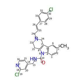 Cc1ccc2c(c1)c1c(n2C(=O)NCc2ccnc(Cl)c2)CCN(C/C=C/c2ccc(Cl)cc2)C1